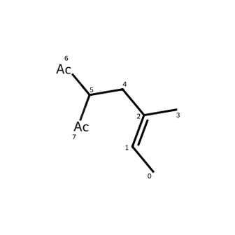 CC=C(C)CC(C(C)=O)C(C)=O